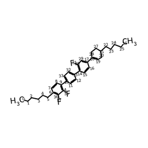 CCCCCCc1ccc(-c2ccc(-c3ccc(C4=CCC(CCCCC)CC4)cc3F)cc2)c(F)c1F